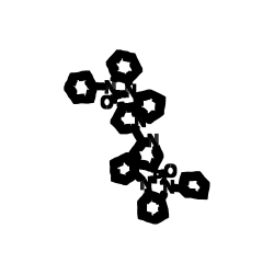 O=P1(c2ccc(-c3ccc(P4(=O)N(c5ccccc5)c5ccccc5N4c4ccccc4)cn3)nc2)N(c2ccccc2)c2ccccc2N1c1ccccc1